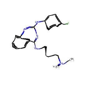 CN(C)CCCNc1nc(Nc2ccc(F)cc2)nc2ccccc12